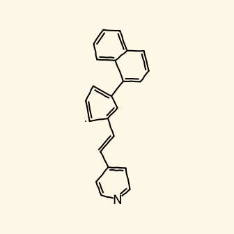 [c]1ccc(-c2cccc3ccccc23)cc1C=Cc1ccncc1